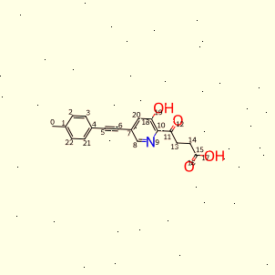 Cc1ccc(C#Cc2cnc(C(=O)CCC(=O)O)c(O)c2)cc1